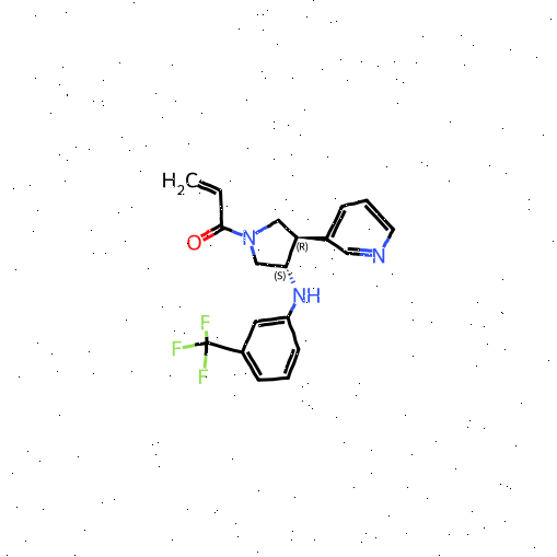 C=CC(=O)N1C[C@@H](Nc2cccc(C(F)(F)F)c2)[C@H](c2cccnc2)C1